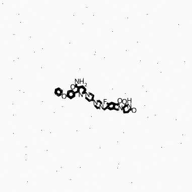 NC(=O)c1ccc(N2CCC(N3CCN(Cc4cc5c(cc4F)C(=O)N(C4CCC(=O)NC4=O)C5)CC3)CC2)nc1-c1ccc(Oc2ccccc2)cc1